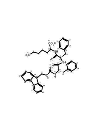 NCCCC[C@H](NC(=O)[C@@H](Cc1ccccc1)NC(=O)[C@H](Cc1ccccc1)NC(=O)OCC1c2ccccc2-c2ccccc21)C(=O)O